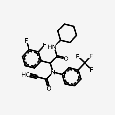 C#CC(=O)N(c1cccc(C(F)(F)F)c1)C(C(=O)NC1CCCCC1)c1cccc(F)c1F